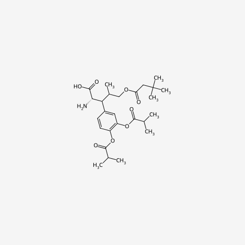 CC(C)C(=O)Oc1ccc(C(C(C)COC(=O)CC(C)(C)C)[C@H](N)C(=O)O)cc1OC(=O)C(C)C